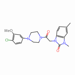 COc1cc(N2CCN(C(=O)Cn3c(=O)n(C)c4cc(C)ccc43)CC2)ccc1Cl